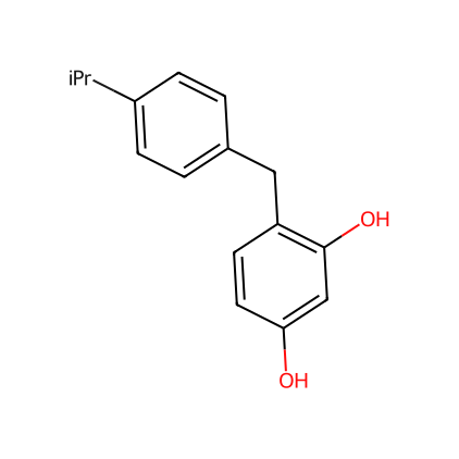 CC(C)c1ccc(Cc2ccc(O)cc2O)cc1